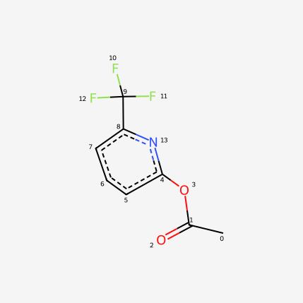 CC(=O)Oc1cccc(C(F)(F)F)n1